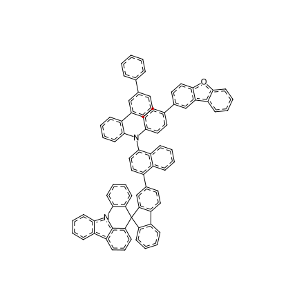 c1ccc(-c2cccc(-c3ccccc3N(c3ccc(-c4ccc5oc6ccccc6c5c4)cc3)c3ccc(-c4ccc5c(c4)C4(c6ccccc6-5)c5ccccc5-n5c6ccccc6c6cccc4c65)c4ccccc34)c2)cc1